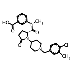 Cc1cc(CN2CCC(N3C(=O)CC[C@@H]3C(=O)N(C)c3cccc(C(=O)O)c3)CC2)ccc1Cl